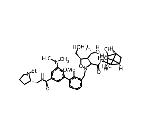 CCN1CCC[C@H]1CNC(=O)c1cc(-c2cccc(CN3O[C@@H](CO)[C@@H]([C@H](C)O)C3C(=O)N[C@H]3C[C@H]4C[C@@H]([C@@H]3C)C4(C)C)c2OC)cc(N(C)C)c1